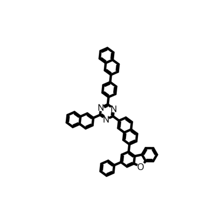 c1ccc(-c2cc(-c3ccc4ccc(-c5nc(-c6ccc(-c7ccc8ccccc8c7)cc6)nc(-c6ccc7ccccc7c6)n5)cc4c3)c3c(c2)oc2ccccc23)cc1